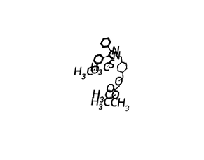 COc1cccc(-c2c(-c3ccccc3)nn(CC3CCC(COCC(=O)OC(C)(C)C)CC3)c2SC)c1